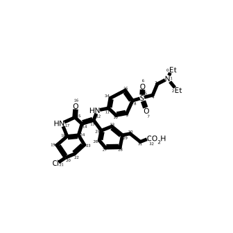 CCN(CC)CCS(=O)(=O)c1ccc(N/C(=C2\C(=O)Nc3cc(Cl)ccc32)c2cccc(CCC(=O)O)c2)cc1